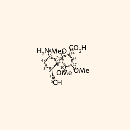 C#Cc1ccc(N)cc1.COc1cc(OC)c(C(=O)O)cc1OC